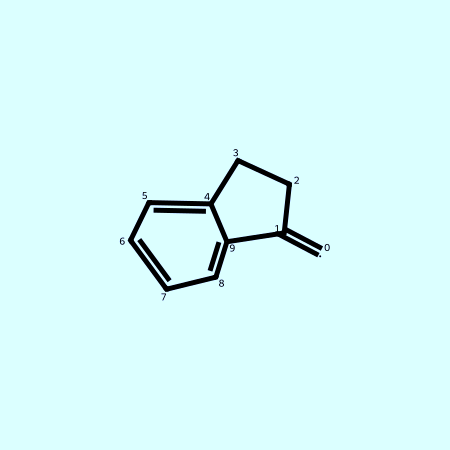 [CH]=C1CCc2ccccc21